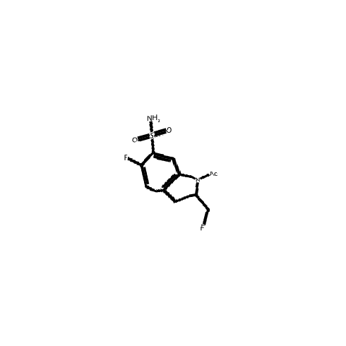 CC(=O)N1c2cc(S(N)(=O)=O)c(F)cc2CC1CF